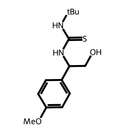 COc1ccc(C(CO)NC(=S)NC(C)(C)C)cc1